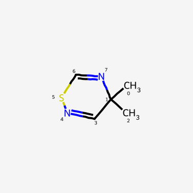 CC1(C)C=NSC=N1